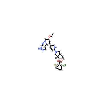 CCOc1cc(-c2ccc(N3CC4C[C@@](C)(OC(=O)c5c(F)cccc5Cl)C[C@H]4C3)nc2)c2c3cn[nH]c3nn2c1